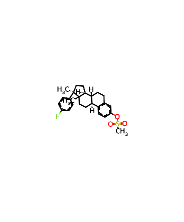 C[C@]12CC[C@@H]3c4ccc(OS(C)(=O)=O)cc4CC[C@H]3[C@@H]1CC[C@]2(C)c1ccc(F)cc1